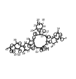 CON=C1C[C@@H](C)O[C@@H](O[C@@H]2[C@@H](C)[C@H](O[C@H]3C[C@@H](C)N(C)C[C@H](C)O3)C(C)C(=O)O[C@H](C(C)CCCC3O[C@H](C)[C@@H](OC(C)=O)[C@@H](OC)[C@H]3OC)[C@H](C)[C@@H](OC(=O)CC(C)C)[C@@H](C)C(=O)[C@@](C)(O)C[C@@H]2C)[C@@H]1OC(C)=O